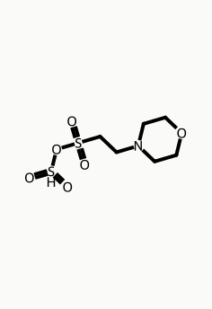 O=[SH](=O)OS(=O)(=O)CCN1CCOCC1